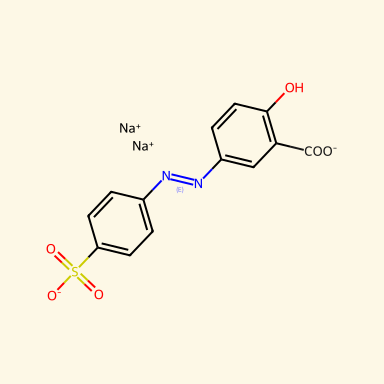 O=C([O-])c1cc(/N=N/c2ccc(S(=O)(=O)[O-])cc2)ccc1O.[Na+].[Na+]